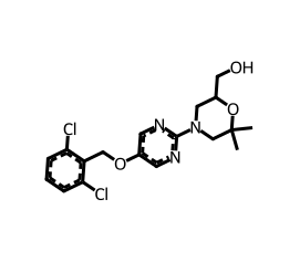 CC1(C)CN(c2ncc(OCc3c(Cl)cccc3Cl)cn2)CC(CO)O1